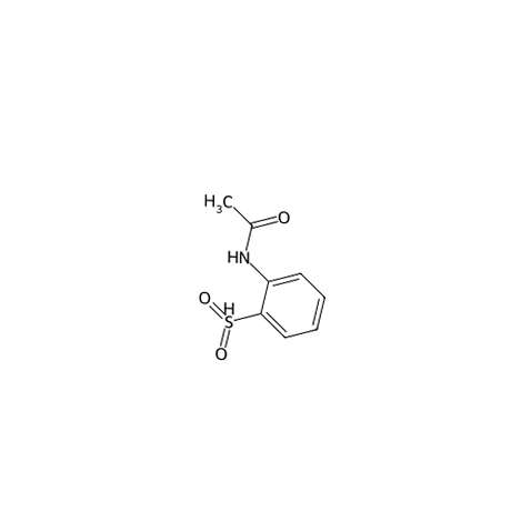 CC(=O)Nc1ccccc1[SH](=O)=O